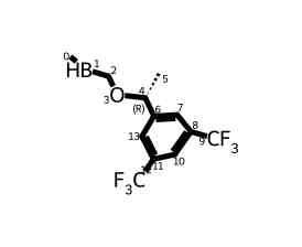 CBCO[C@H](C)c1cc(C(F)(F)F)cc(C(F)(F)F)c1